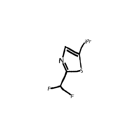 CC(C)c1cnc(C(F)F)s1